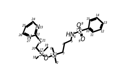 C[Si](C)(CCCNS(=O)(=O)c1ccccc1)O[Si](C)(C)CSc1ncccn1